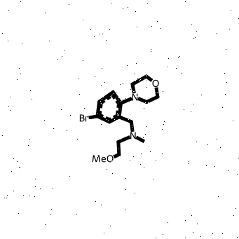 COCCN(C)Cc1cc(Br)ccc1N1CCOCC1